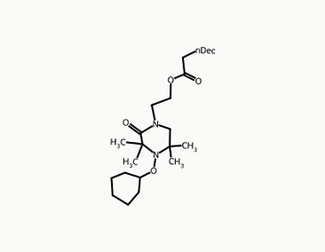 CCCCCCCCCCCC(=O)OCCN1CC(C)(C)N(OC2CCCCC2)C(C)(C)C1=O